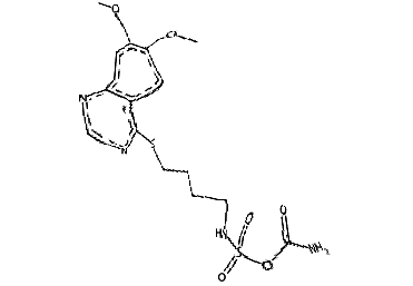 COc1cc2ncnc(SCCCCNS(=O)(=O)OC(N)=O)c2cc1OC